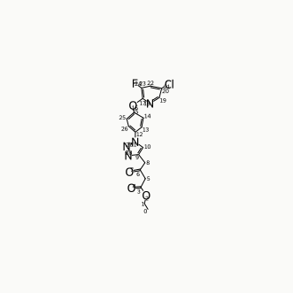 CCOC(=O)CC(=O)Cc1cn(-c2ccc(Oc3ncc(Cl)cc3F)cc2)nn1